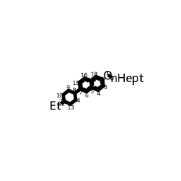 CCCCCCCOc1ccc2cc(C3CCC(CC)CC3)ccc2c1